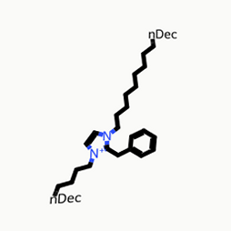 CCCCCCCCCCCCCCCCCCCn1cc[n+](CCCCCCCCCCCCCC)c1Cc1ccccc1